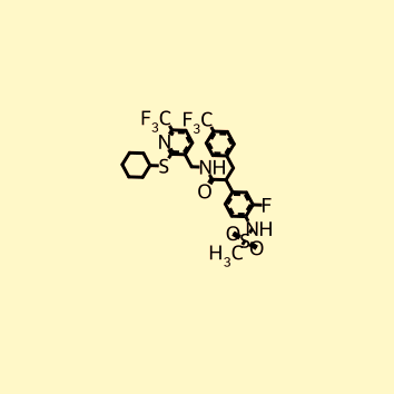 CS(=O)(=O)Nc1ccc(C(Cc2ccc(C(F)(F)F)cc2)C(=O)NCc2ccc(C(F)(F)F)nc2SC2CCCCC2)cc1F